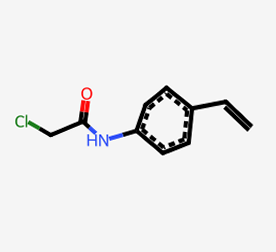 C=Cc1ccc(NC(=O)CCl)cc1